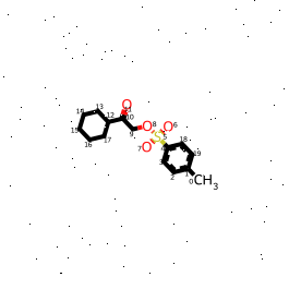 Cc1ccc(S(=O)(=O)OCC(=O)C2CCCCC2)cc1